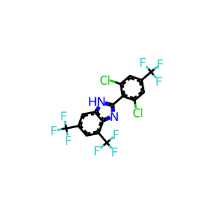 FC(F)(F)c1cc(Cl)c(-c2nc3c(C(F)(F)F)cc(C(F)(F)F)cc3[nH]2)c(Cl)c1